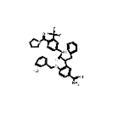 Cl.N=C(N)c1ccc(OCc2ccccc2)c(C(Cc2ccccc2)C(=O)Nc2ccc(C(=O)N3CCCC3)c(C(F)(F)F)c2)c1